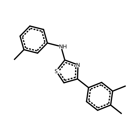 Cc1cccc(Nc2nc(-c3ccc(C)c(C)c3)cs2)c1